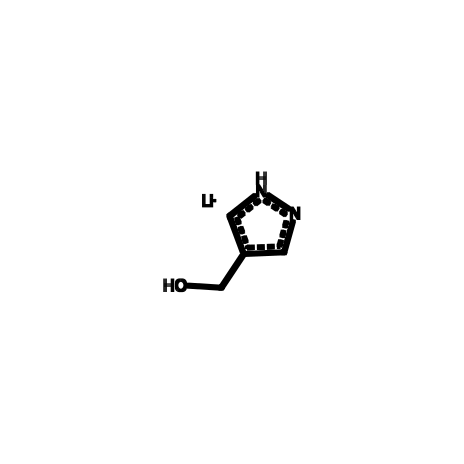 OCc1cn[nH]c1.[Li]